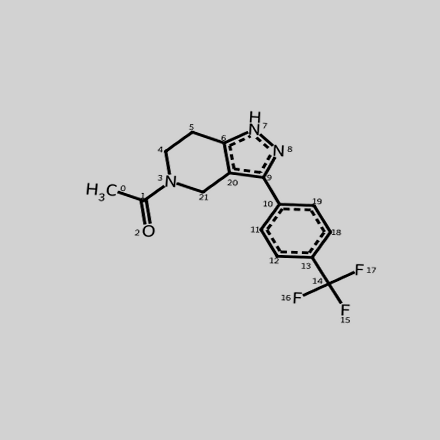 CC(=O)N1CCc2[nH]nc(-c3ccc(C(F)(F)F)cc3)c2C1